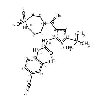 CC(C)(C)c1cc(C(=O)N2CCNS(=O)(=O)CC2)c(NC(=O)Nc2ccc(C#N)cc2Cl)s1